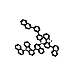 c1cc(-c2ccc(N(c3ccc(-c4cccc5c4c4ccccc4n5-c4cccc5ccccc45)c4ccccc34)c3ccc(-c4cccc5ccccc45)c4oc5ccccc5c34)cc2)cc(-c2ccc3ccccc3c2)c1